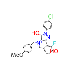 COc1ccc(C[n+]2cc3cccc(F)c3c3nn(-c4ccc(Cl)cc4)c(O)c32)cc1.[OH-]